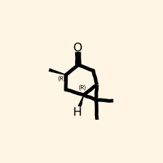 C[C@@H]1C[C@@H]2C(CC1=O)C2(C)C